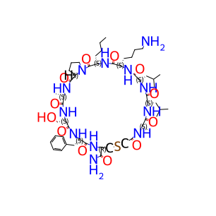 CCCC[C@@H]1NC(=O)[C@H](CCCCN)NC(=O)[C@H](CC(C)C)NC(=O)[C@H](CC(C)C)NC(=O)[C@H](C)NC(=O)CSC[C@@H](C(N)=O)NC(=O)[C@H](Cc2ccccc2)NC(=O)[C@H](CO)NC(=O)[C@H](C)NC(=O)[C@@H]2CCCN2C1=O